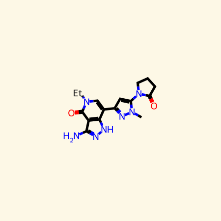 CCn1cc(-c2cc(N3CCCC3=O)n(C)n2)c2[nH]nc(N)c2c1=O